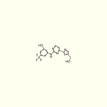 OCc1cnc(-c2ccnc(Nc3cc(O)cc(C(F)(F)F)c3)n2)s1